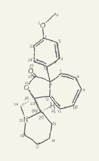 COc1ccc(C23C=CC=CC=C2[C@]2(CN4CCCC[C@@H]42)OC3=O)cc1